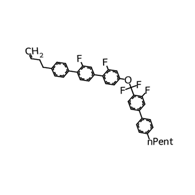 C=CCCc1ccc(-c2ccc(-c3ccc(OC(F)(F)c4ccc(-c5ccc(CCCCC)cc5)cc4F)cc3F)cc2F)cc1